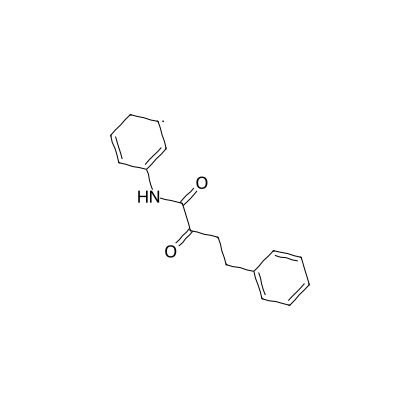 O=C(CCc1ccccc1)C(=O)NC1=C[CH]CC=C1